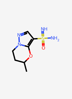 CC1CCn2ncc(S(=N)(N)=O)c2O1